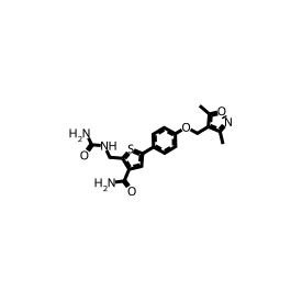 Cc1noc(C)c1COc1ccc(-c2cc(C(N)=O)c(CNC(N)=O)s2)cc1